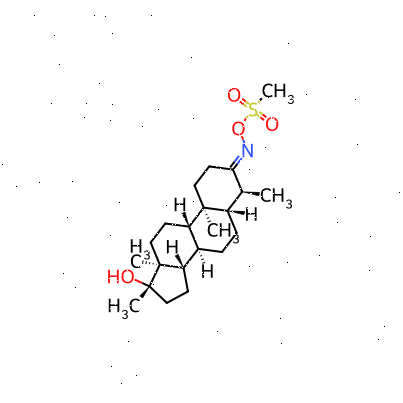 C[C@@H]1/C(=N/OS(C)(=O)=O)CC[C@]2(C)[C@H]3CC[C@@]4(C)[C@@H](CC[C@]4(C)O)[C@@H]3CC[C@@H]12